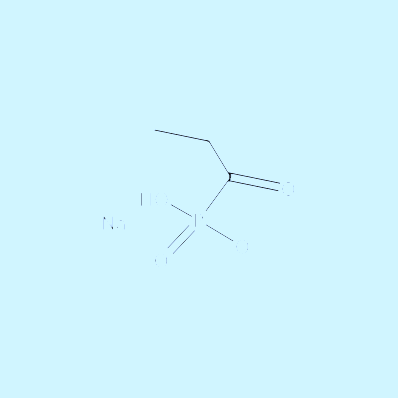 CCC(=O)P(=O)([O-])O.[Na+]